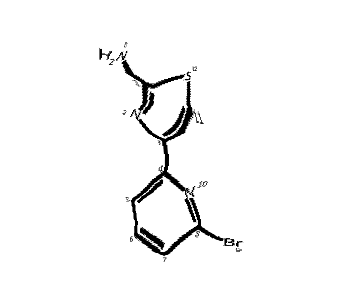 Nc1nc(-c2cccc(Br)n2)cs1